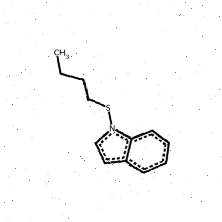 CCCCSn1ccc2ccccc21